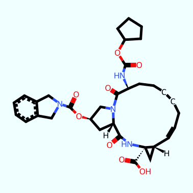 O=C(N[C@H]1CCCCC/C=C\[C@@H]2C[C@@]2(C(=O)O)NC(=O)[C@@H]2C[C@@H](OC(=O)N3Cc4ccccc4C3)CN2C1=O)OC1CCCC1